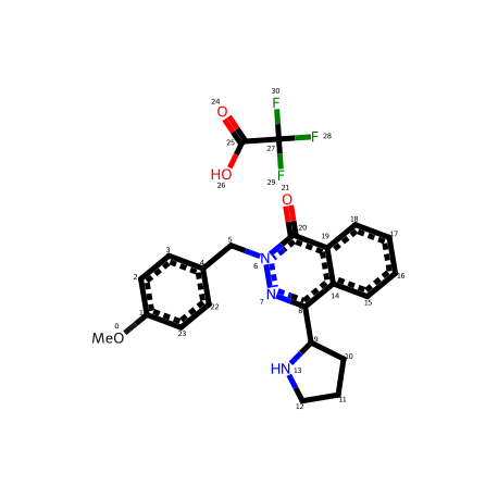 COc1ccc(Cn2nc(C3CCCN3)c3ccccc3c2=O)cc1.O=C(O)C(F)(F)F